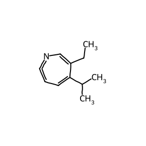 CCC1=CN=C=CC=C1C(C)C